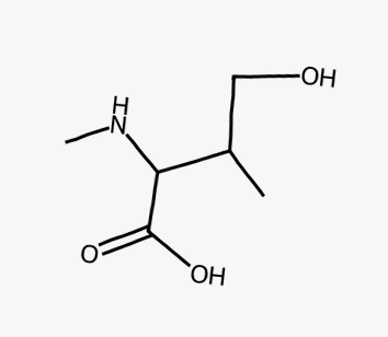 CNC(C(=O)O)C(C)CO